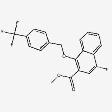 COC(=O)c1cc(F)c2ccccc2c1OCc1ccc(C(F)(F)F)cc1